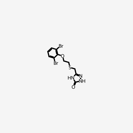 O=c1[nH]nc(CSCCOc2c(Br)cccc2Br)[nH]1